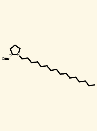 CCCCCCCCCCCCCCCCN1CCC[C@H]1C=O